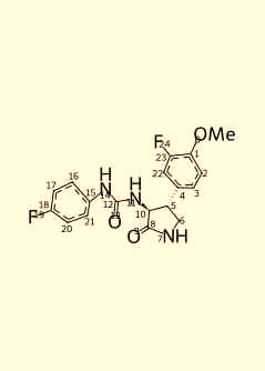 COc1ccc([C@@H]2CNC(=O)[C@H]2NC(=O)Nc2ccc(F)cc2)cc1F